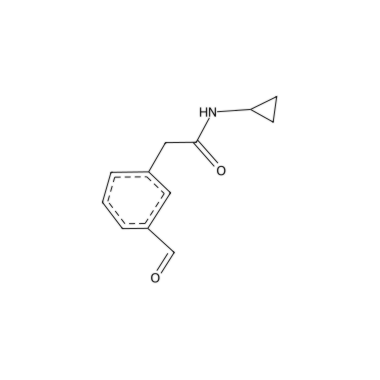 O=Cc1cccc(CC(=O)NC2CC2)c1